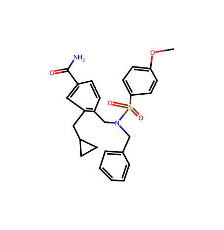 COc1ccc(S(=O)(=O)N(Cc2ccccc2)Cc2ccc(C(N)=O)cc2CC2CC2)cc1